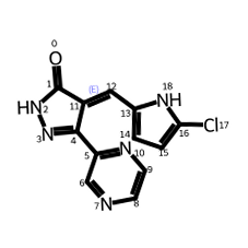 O=C1NN=C(c2cnccn2)/C1=C\c1ccc(Cl)[nH]1